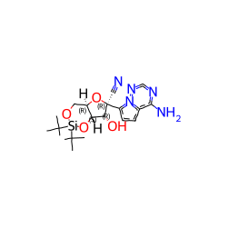 CC(C)(C)[Si]1(C(C)(C)C)OC[C@H]2O[C@@](C#N)(c3ccc4c(N)ncnn34)[C@H](O)[C@@H]2O1